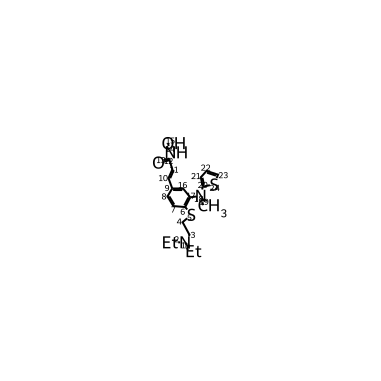 CCN(CC)CCSc1ccc(/C=C/C(=O)NO)cc1N(C)c1cccs1